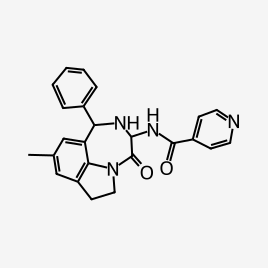 Cc1cc2c3c(c1)C(c1ccccc1)NC(NC(=O)c1ccncc1)C(=O)N3CC2